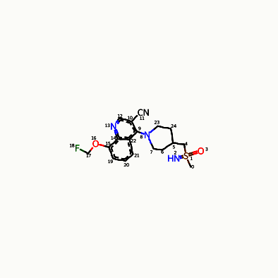 CS(=N)(=O)CC1CCN(c2c(C#N)cnc3c(OCF)cccc23)CC1